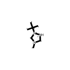 CN1CNN(C(C)(C)C)C1